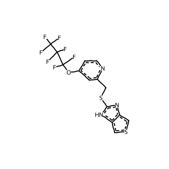 FC(F)(F)C(F)(F)C(F)(F)Oc1ccnc(CSc2nc3cscc3[nH]2)c1